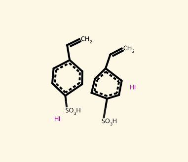 C=Cc1ccc(S(=O)(=O)O)cc1.C=Cc1ccc(S(=O)(=O)O)cc1.I.I